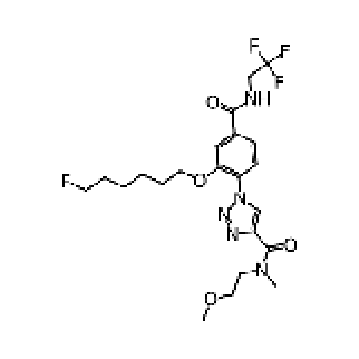 COCCN(C)C(=O)c1cn(-c2ccc(C(=O)NCC(F)(F)F)cc2OCCCCCCF)nn1